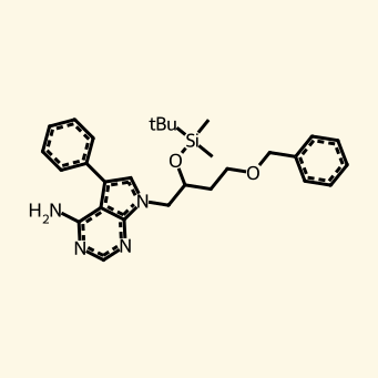 CC(C)(C)[Si](C)(C)OC(CCOCc1ccccc1)Cn1cc(-c2ccccc2)c2c(N)ncnc21